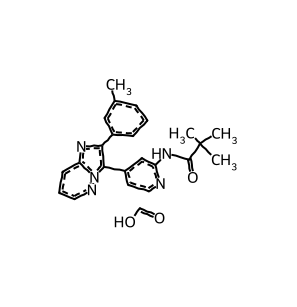 Cc1cccc(-c2nc3cccnn3c2-c2ccnc(NC(=O)C(C)(C)C)c2)c1.O=CO